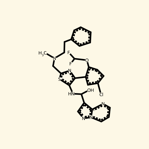 CN(CCc1ccccc1)Cc1nc(-c2cc(Cl)ccc2OC(F)F)c(NC(O)c2cnn3cccnc23)s1